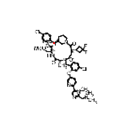 COC[C@@H]1NC(=O)[C@H](C)N(Cc2c(F)cc(Cl)cc2Oc2ccc(-c3cnc(CN(C)C)n3C)nc2)C(=O)C[C@@H](C2CC(F)(F)C2)C(=O)N2CCC[C@@](Cc3ccc(Cl)cc3)(C2)N(C)C1=O